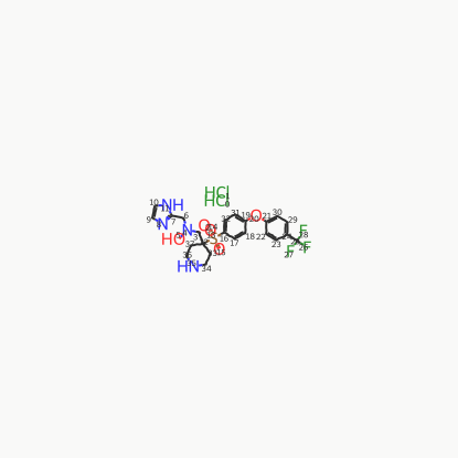 Cl.Cl.O=C(N(O)Cc1ncc[nH]1)C1(S(=O)(=O)c2ccc(Oc3ccc(C(F)(F)F)cc3)cc2)CCNCC1